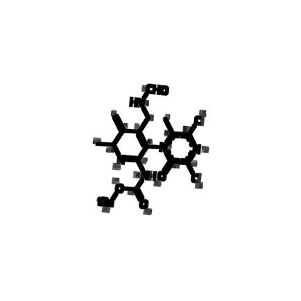 C=C1C(CNC=O)=C(n2c(C)c(Cl)nc(Cl)c2=O)C(NC(=O)OC(C)(C)C)=NC1C